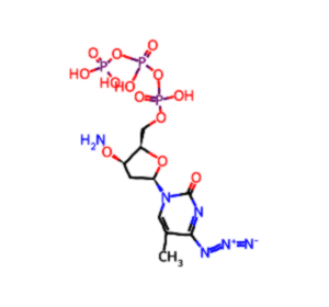 Cc1cn([C@H]2C[C@@H](ON)[C@@H](COP(=O)(O)OP(=O)(O)OP(=O)(O)O)O2)c(=O)nc1N=[N+]=[N-]